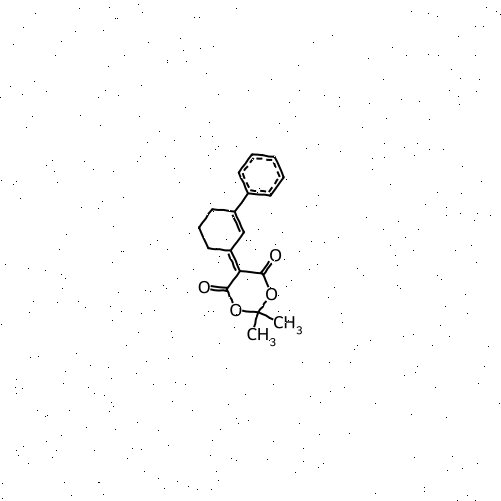 CC1(C)OC(=O)C(=C2C=C(c3ccccc3)CCC2)C(=O)O1